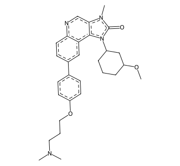 COC1CCCC(n2c(=O)n(C)c3cnc4ccc(-c5ccc(OCCCN(C)C)cc5)cc4c32)C1